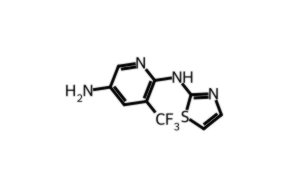 Nc1cnc(Nc2nccs2)c(C(F)(F)F)c1